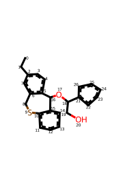 CCc1ccc2c(c1)CSc1ccccc1C2OC(CO)c1ccccc1